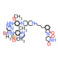 COc1cc(N2CCC3(CCN(CCCCc4cccc5c4CN(C4CCC(=O)NC4=O)C5=O)CC3)CC2)c(C)cc1Nc1ncc(Br)c(Nc2ccc3nccnc3c2P(C)(C)=O)n1